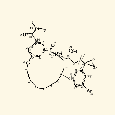 C[C@@H]1CCCCCCCOc2cc(cc(C(=O)N(C)C)c2)C(=O)N[C@H]([C@H](O)CNC2(c3cncc(Br)c3)CC2)C1